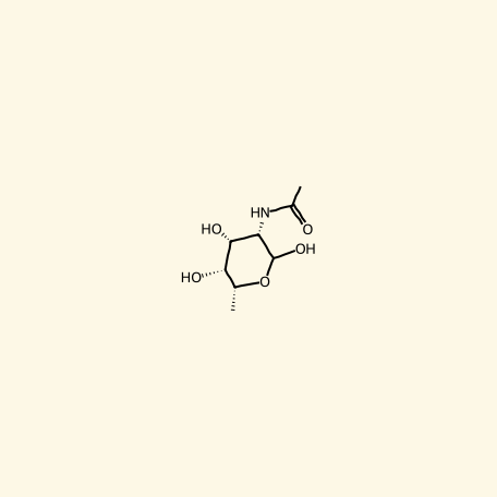 CC(=O)N[C@@H]1C(O)O[C@H](C)[C@H](O)[C@@H]1O